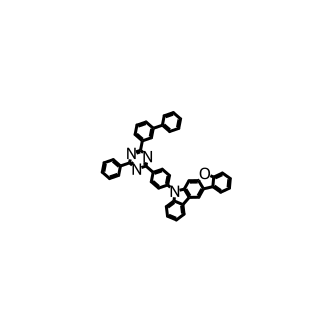 c1ccc(-c2cccc(-c3nc(-c4ccccc4)nc(-c4ccc(-n5c6ccccc6c6cc7c(cc65)oc5ccccc57)cc4)n3)c2)cc1